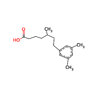 Cc1cc(C)cc(CCC(C)CCCC(=O)O)c1